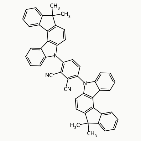 CC1(C)c2ccccc2-c2c1ccc1c2c2ccccc2n1-c1ccc(-n2c3ccccc3c3c4c(ccc32)C(C)(C)c2ccccc2-4)c(C#N)c1C#N